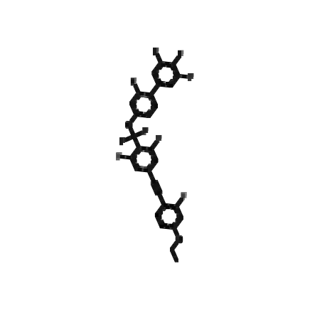 CCOc1ccc(C#Cc2cc(F)c(C(F)(F)Oc3ccc(-c4cc(F)c(F)c(F)c4)c(F)c3)c(F)c2)c(F)c1